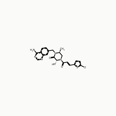 CCC[C@@H]1C(=O)N(Cc2ccc3c(N)ncnc3c2)[C@@H](C)CN1C(=O)C=Cc1ccc(Cl)s1